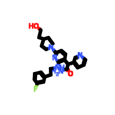 NC(=O)C(c1cccnc1)c1ccc(N2CCC(CCO)CC2)nc1NCCc1cccc(F)c1